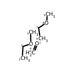 C=O.CCOC.CCOC